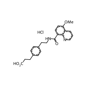 COc1ccc(C(=O)NCCc2ccc(CCC(=O)O)cc2)c2ncccc12.Cl